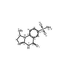 CCCC1CN=C2NC(=O)c3cc(S(N)(=O)=O)ccc3N21